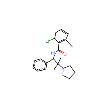 CC1=C(C(=O)NC(c2ccccc2)C(C)(C)N2CCCC2)C(Cl)CC=C1